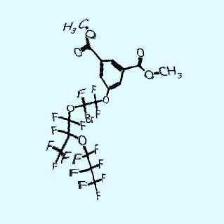 COC(=O)c1cc(OC(F)(F)C(F)(Br)OC(F)(F)C(F)(OC(F)(F)C(F)(F)C(F)(F)F)C(F)(F)F)cc(C(=O)OC)c1